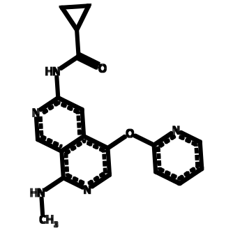 CNc1ncc(Oc2ccccn2)c2cc(NC(=O)C3CC3)ncc12